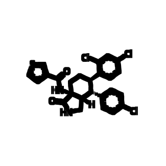 O=C(N[C@@]12CC[C@@H](c3ccc(Cl)cc3Cl)[C@H](c3ccc(Cl)cc3)[C@@H]1CNC2=O)c1ccsc1